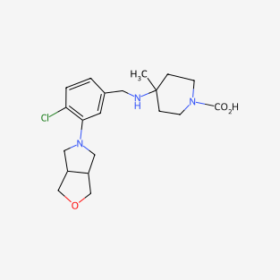 CC1(NCc2ccc(Cl)c(N3CC4COCC4C3)c2)CCN(C(=O)O)CC1